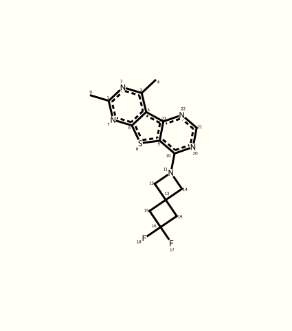 Cc1nc(C)c2c(n1)sc1c(N3CC4(C3)CC(F)(F)C4)ncnc12